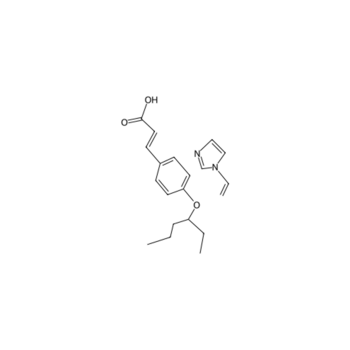 C=Cn1ccnc1.CCCC(CC)Oc1ccc(C=CC(=O)O)cc1